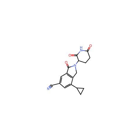 N#Cc1cc2c(c(C3CC3)c1)CN(C1CCC(=O)NC1=O)C2=O